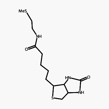 CSCCNC(=O)CCCCC1SCC2NC(=O)NC21